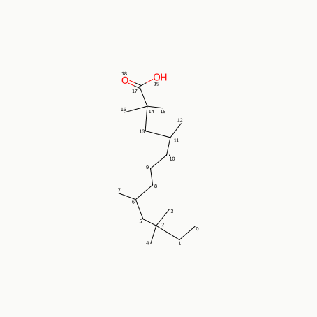 CCC(C)(C)CC(C)CC[CH]C(C)CC(C)(C)C(=O)O